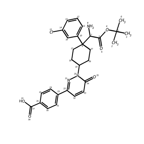 CC(C)(C)OC(=O)C(N)C1(c2cccc(Cl)c2)CCC(n2nc(-c3ccc(C(=O)O)cc3)ccc2=O)CC1